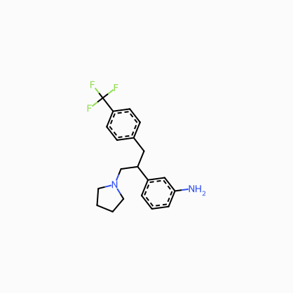 Nc1cccc(C(Cc2ccc(C(F)(F)F)cc2)CN2CCCC2)c1